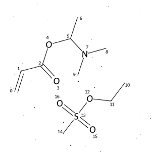 C=CC(=O)OC(C)N(C)C.CCOS(C)(=O)=O